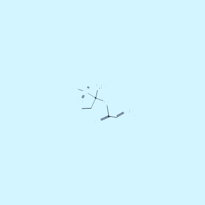 C=CC(=O)OC(N)(CC)S(=O)(=O)O